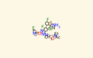 CCN(C(C)=O)C(=O)CCCN(C)c1nc(OC[C@@]23CCCN2C[C@H](F)C3)nc2c(F)c(-c3ccc(F)c4sc(N)c(C#N)c34)c(Cl)cc12